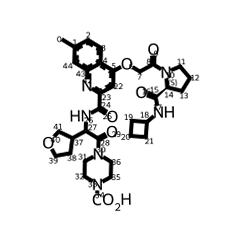 Cc1ccc2c(OCC(=O)N3CCC[C@H]3C(=O)NC3CCC3)cc(C(=O)NC(C(=O)N3CCN(C(=O)O)CC3)C3CCOC3)nc2c1